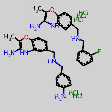 CC1=C(N)Nc2cc(CNCc3ccc(N)cc3)ccc2O1.CC1=C(N)Nc2cc(CNCc3ccccc3F)ccc2O1.Cl.Cl.Cl.Cl.Cl